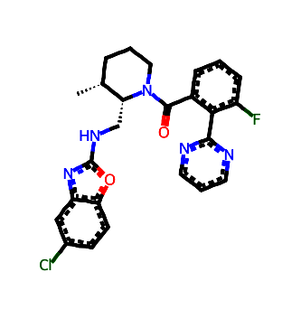 C[C@@H]1CCCN(C(=O)c2cccc(F)c2-c2ncccn2)[C@@H]1CNc1nc2cc(Cl)ccc2o1